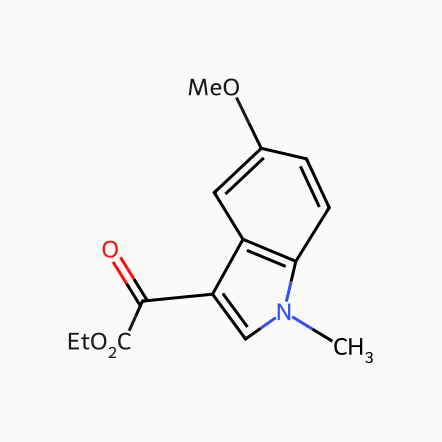 CCOC(=O)C(=O)c1cn(C)c2ccc(OC)cc12